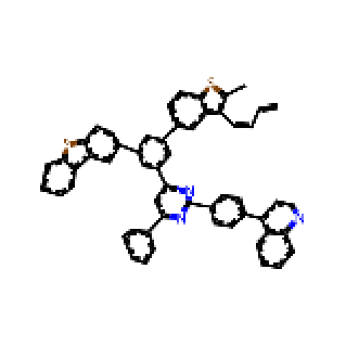 C=C/C=C\c1c(C)sc2ccc(-c3cc(-c4ccc5sc6ccccc6c5c4)cc(-c4cc(-c5ccccc5)nc(-c5ccc(-c6ccnc7ccccc67)cc5)n4)c3)cc12